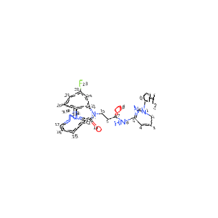 CN1CC=CC(NC(=O)CCn2c(=O)c3cccn3c3ccc(F)cc32)=N1